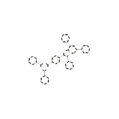 c1ccc(-c2cc(-c3ccccc3)c3nc(-c4ccc(-c5nc(-c6ccccc6)nc(-c6ccccc6)n5)cc4)c(-c4ccccc4)n3c2)cc1